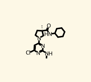 CNc1nc(Cl)cc(N2CC[C@@](C)(C(=O)NC3CCCCC3)C2)n1